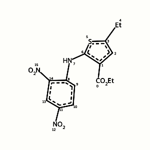 CCOC(=O)c1cc(CC)sc1Nc1ccc([N+](=O)[O-])cc1[N+](=O)[O-]